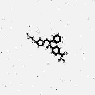 COCOC1CCN(CC(c2ccccc2)N(C)c2ccc(C(=O)N(C)C)cc2)C1